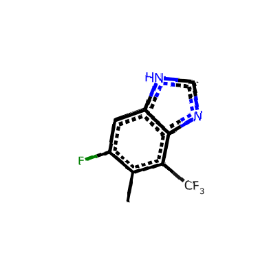 Cc1c(F)cc2[nH][c]nc2c1C(F)(F)F